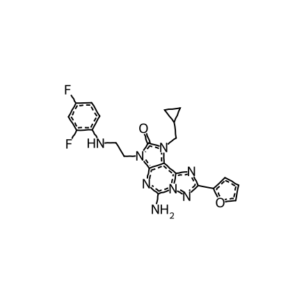 Nc1nc2c(c3nc(-c4ccco4)nn13)n(CC1CC1)c(=O)n2CCNc1ccc(F)cc1F